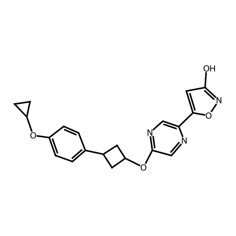 Oc1cc(-c2cnc(OC3CC(c4ccc(OC5CC5)cc4)C3)cn2)on1